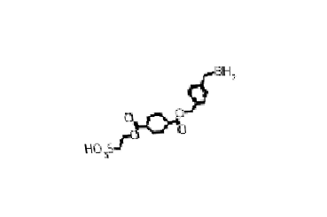 BCc1ccc(COC(=O)C2CCC(C(=O)OCCS(=O)(=O)O)CC2)cc1